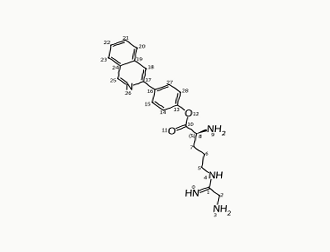 N=C(CN)NCCC[C@H](N)C(=O)Oc1ccc(-c2cc3ccccc3cn2)cc1